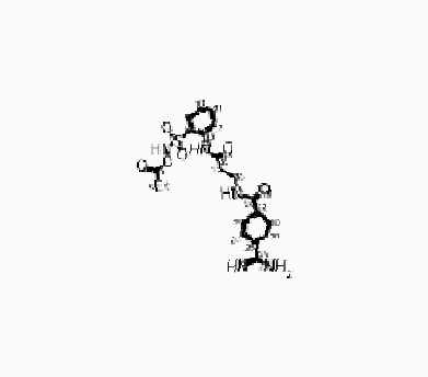 CCC(=O)ONS(=O)(=O)c1ccccc1NC(=O)CCNC(=O)c1ccc(C(=N)N)cc1